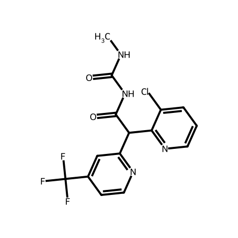 CNC(=O)NC(=O)C(c1cc(C(F)(F)F)ccn1)c1ncccc1Cl